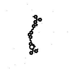 C=C1/C=C(N(c2ccccc2)c2cccc(C)c2)\C=C/Cc2ccc(/C=C/c3ccc4c(ccc5cc(/C=C/c6ccc7c(c6)C(C)(C)c6cc(N(c8ccccc8)c8cccc(C)c8)ccc6-7)ccc54)c3)cc2C1(C)C